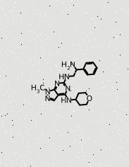 Cn1ncc2c(NC3CCOCC3)nc(NCC(N)c3ccccc3)nc21